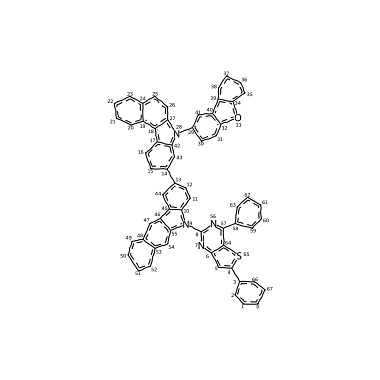 c1ccc(-c2cc3nc(-n4c5ccc(-c6ccc7c8c9ccccc9ccc8n(-c8ccc9oc%10ccccc%10c9c8)c7c6)cc5c5cc6ccccc6cc54)nc(-c4ccccc4)c3s2)cc1